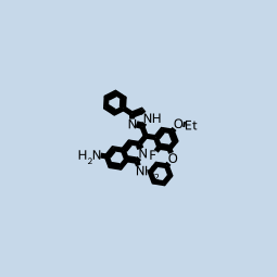 CCOc1cc(OC2CCCCC2)c(F)c(C(c2cc3cc(N)ccc3c(N)n2)c2nc(-c3ccccc3)c[nH]2)c1